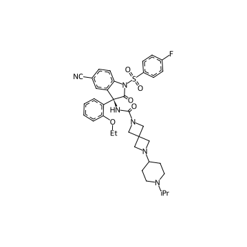 CCOc1ccccc1[C@@]1(NC(=O)N2CC3(C2)CN(C2CCN(C(C)C)CC2)C3)C(=O)N(S(=O)(=O)c2ccc(F)cc2)c2ccc(C#N)cc21